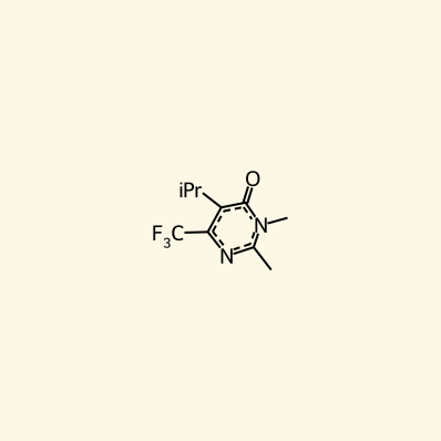 Cc1nc(C(F)(F)F)c(C(C)C)c(=O)n1C